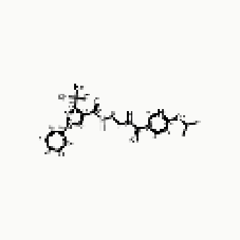 CC(C)Oc1ccc(C(=O)NCCNC(=O)c2cn(-c3ccccc3)nc2C(F)(F)F)cn1